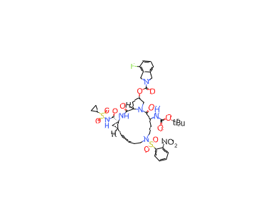 CC(C)(C)OC(=O)N[C@H]1CCN(S(=O)(=O)c2ccccc2[N+](=O)[O-])CC/C=C\[C@@H]2C[C@@]2(C(=O)NS(=O)(=O)C2CC2)NC(=O)[C@@H]2C[C@@H](OC(=O)N3Cc4cccc(F)c4C3)CN2C1=O